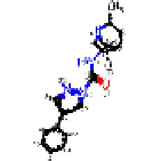 CC1CC2CCN1C[C@@H]2NC(=O)n1cc(-c2ccccc2)cn1